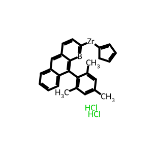 Cc1cc(C)c(-c2c3b[c]([Zr][C]4=CC=CC4)ccc3cc3ccccc23)c(C)c1.Cl.Cl